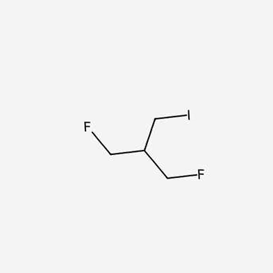 FCC(CF)CI